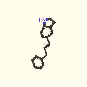 C(=C\c1ccc2[nH]ccc2c1)/Cc1ccccc1